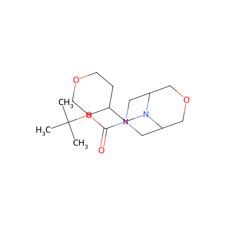 CC(C)(C)OC(=O)N1CC2COCC(C1)N2CC1CCOCC1